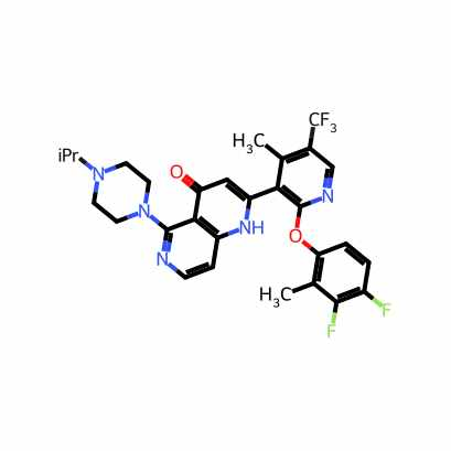 Cc1c(Oc2ncc(C(F)(F)F)c(C)c2-c2cc(=O)c3c(N4CCN(C(C)C)CC4)nccc3[nH]2)ccc(F)c1F